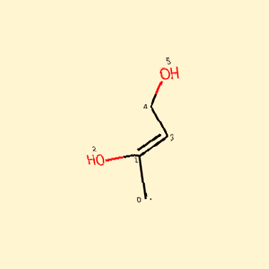 [CH2]C(O)=CCO